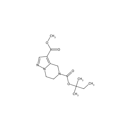 CCC(C)(C)OC(=O)N1CCn2ncc(C(=O)OC)c2C1